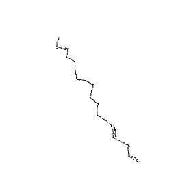 [CH]=CCC=CCCCCCCCC=CC